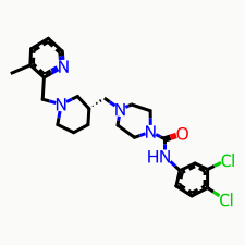 Cc1cccnc1CN1CCC[C@@H](CN2CCN(C(=O)Nc3ccc(Cl)c(Cl)c3)CC2)C1